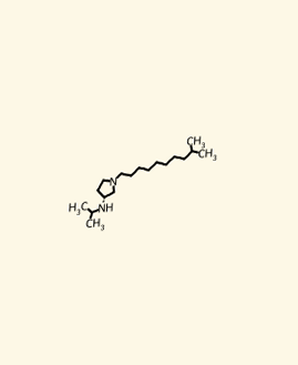 CC(C)CCCCCCCCN1CC[C@@H](NC(C)C)C1